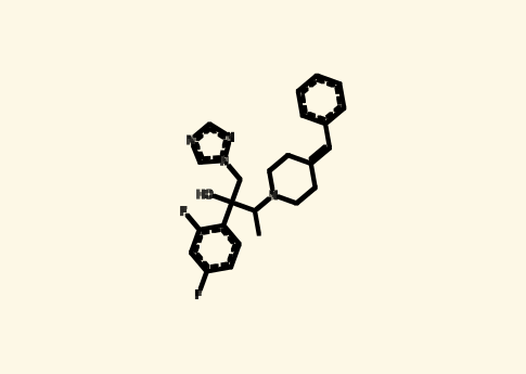 CC(N1CCC(=Cc2ccccc2)CC1)C(O)(Cn1cncn1)c1ccc(F)cc1F